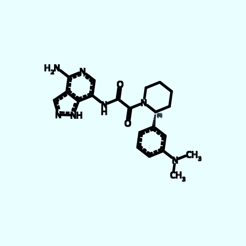 CN(C)c1cccc([C@H]2CCCCN2C(=O)C(=O)Nc2cnc(N)c3cn[nH]c23)c1